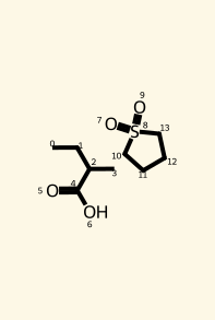 CCC(C)C(=O)O.O=S1(=O)CCCC1